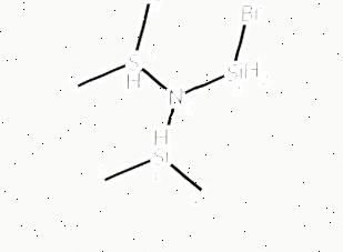 C[SiH](C)N([SiH2]Br)[SH](C)C